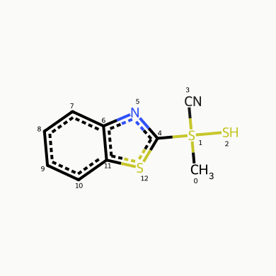 CS(S)(C#N)c1nc2ccccc2s1